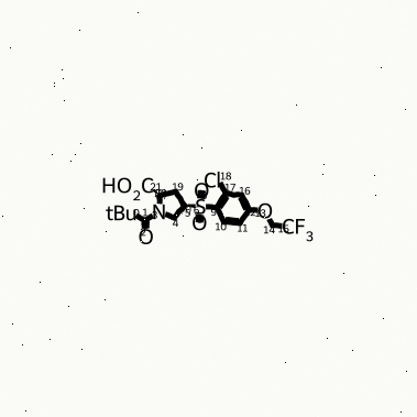 CC(C)(C)C(=O)N1C[C@H](S(=O)(=O)c2ccc(OCC(F)(F)F)cc2Cl)C[C@H]1C(=O)O